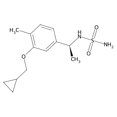 Cc1ccc([C@H](C)NS(N)(=O)=O)cc1OCC1CC1